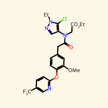 CCOC(=O)CN(C(=O)Cc1ccc(Oc2ccc(C(F)(F)F)cn2)c(OC)c1)c1cnn(CC)c1Cl